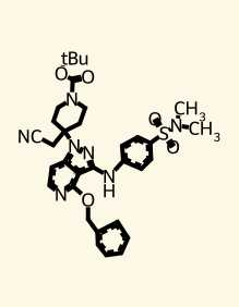 CN(C)S(=O)(=O)c1ccc(Nc2nn(C3(CC#N)CCN(C(=O)OC(C)(C)C)CC3)c3ccnc(OCc4ccccc4)c23)cc1